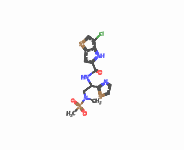 CN(CC(NC(=O)c1cc2scc(Cl)c2[nH]1)c1nccs1)S(C)(=O)=O